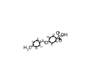 Cc1ccc(COc2ccc(S(=O)(=O)O)cc2)cc1